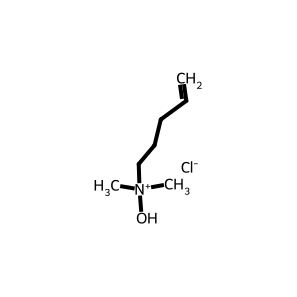 C=CCCC[N+](C)(C)O.[Cl-]